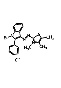 CCn1c(-c2ccccc2)c(N=Nc2sc(C)c(C)[n+]2C)c2ccccc21.[Cl-]